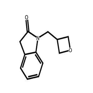 O=C1Cc2ccccc2N1CC1COC1